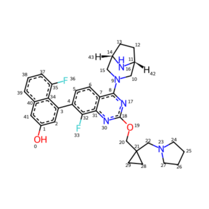 Oc1cc(-c2ccc3c(N4C[C@H]5CC[C@@H](C4)N5)nc(OCC4(CN5CCCC5)CC4)nc3c2F)c2c(F)cccc2c1